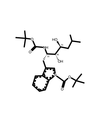 CC(C)C[C@H](O)[C@H](O)[C@H](Cc1cn(C(=O)OC(C)(C)C)c2ccccc12)NC(=O)OC(C)(C)C